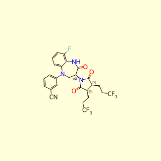 N#Cc1cccc(N2C[C@H](N3C(=O)[C@@H](CCC(F)(F)F)[C@@H](CCC(F)(F)F)C3=O)C(=O)Nc3c(F)cccc32)c1